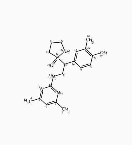 Cc1cc(C)nc(NCC(c2ccc(O)c(C)c2)P2(=O)CCCN2)n1